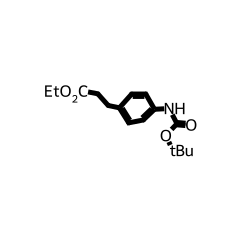 CCOC(=O)CCc1ccc(NC(=O)OC(C)(C)C)cc1